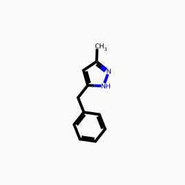 Cc1cc(Cc2ccccc2)[nH]n1